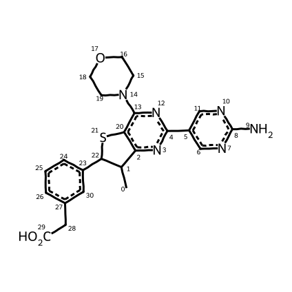 CC1c2nc(-c3cnc(N)nc3)nc(N3CCOCC3)c2SC1c1cccc(CC(=O)O)c1